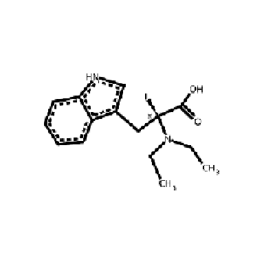 CCN(CC)[C@](I)(Cc1c[nH]c2ccccc12)C(=O)O